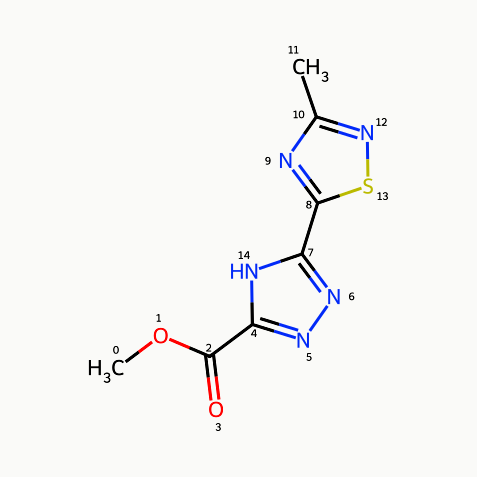 COC(=O)c1nnc(-c2nc(C)ns2)[nH]1